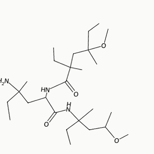 CCC(C)(N)CC(NC(=O)C(C)(CC)CC(C)(CC)OC)C(=O)NC(C)(CC)CC(C)OC